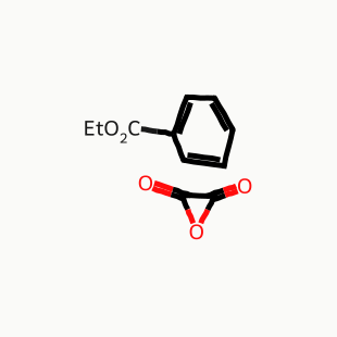 CCOC(=O)c1ccccc1.O=c1oc1=O